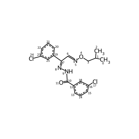 CC(C)CON=CC(=NNC(=O)c1cccc(Cl)c1)c1cccc(Cl)c1